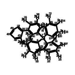 [2H]c1c([2H])c([2H])c([Si](c2c([2H])c([2H])c([2H])c([2H])c2[2H])(c2c([2H])c([2H])c([2H])c([2H])c2[2H])c2c([2H])c([2H])c([2H])c(-c3ccccc3N)c2[2H])c([2H])c1[2H]